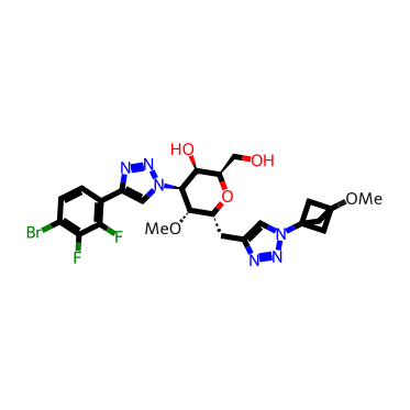 CO[C@@H]1[C@@H](n2cc(-c3ccc(Br)c(F)c3F)nn2)[C@@H](O)[C@@H](CO)O[C@@H]1Cc1cn(C23CC(OC)(C2)C3)nn1